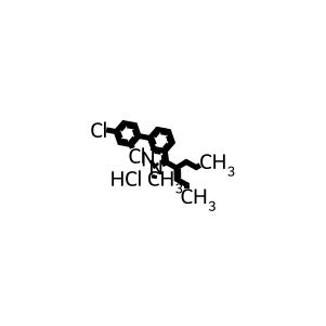 CC/C=C(\CCC)c1c2cccc(-c3ccc(Cl)cc3Cl)c2nn1C.Cl